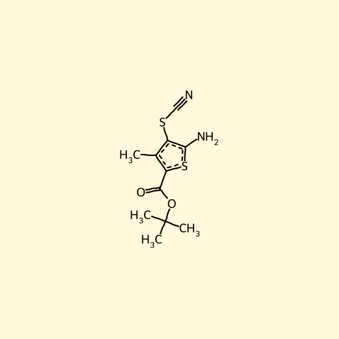 Cc1c(C(=O)OC(C)(C)C)sc(N)c1SC#N